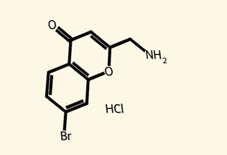 Cl.NCc1cc(=O)c2ccc(Br)cc2o1